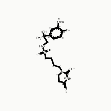 CC[C@@](O)(CNS(=O)(=O)CCCCN1CCC(=O)NC1=O)c1ccc(F)c(OCC(C)C)c1